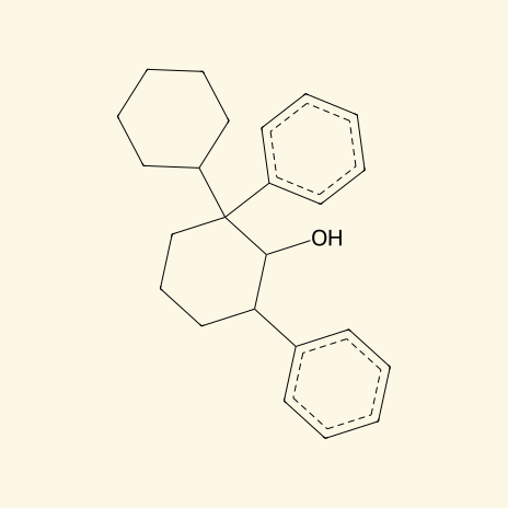 OC1C(c2ccccc2)CCCC1(c1ccccc1)C1CCCCC1